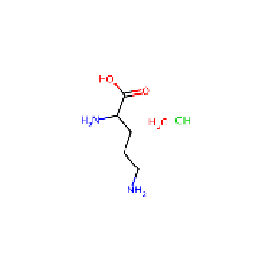 Cl.NCCCC(N)C(=O)O.O